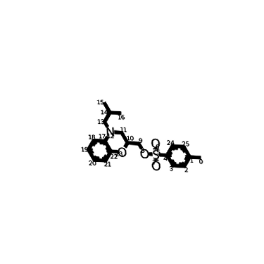 Cc1ccc(S(=O)(=O)OCC2CN(CC(C)C)c3ccccc3O2)cc1